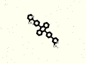 Cc1cc(-c2ccc(-c3c4ccccc4c(-c4ccc(-c5ncccc5C)cc4)c4ccccc34)cc2)ccn1